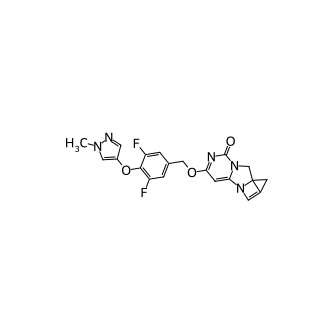 Cn1cc(Oc2c(F)cc(COc3cc4n(c(=O)n3)CC35CC3=CN45)cc2F)cn1